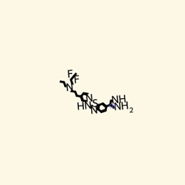 CCCN(CCCc1ccnc(Nc2nc3ccc(/C(C=N)=C/N)cc3s2)c1)CCC(C)(F)F